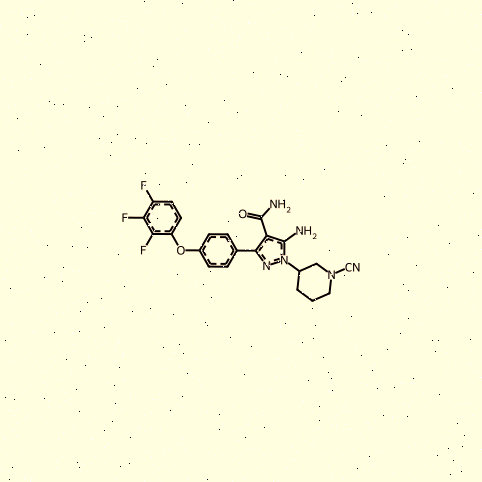 N#CN1CCCC(n2nc(-c3ccc(Oc4ccc(F)c(F)c4F)cc3)c(C(N)=O)c2N)C1